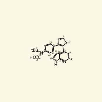 CC(C)(C)N(C(=O)O)c1ccc(-c2ccsc2-c2ccnc3[nH]ccc23)cc1